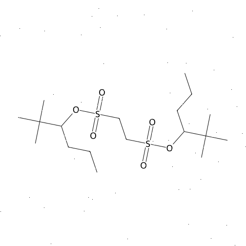 CCCC(OS(=O)(=O)CCS(=O)(=O)OC(CCC)C(C)(C)C)C(C)(C)C